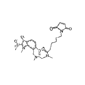 CCc1c([S@@+](C)[O-])n(C)c2c(CN(C)CCN(C)C(=O)CCCCCN3C(=O)C=CC3=O)c(O)ccc12